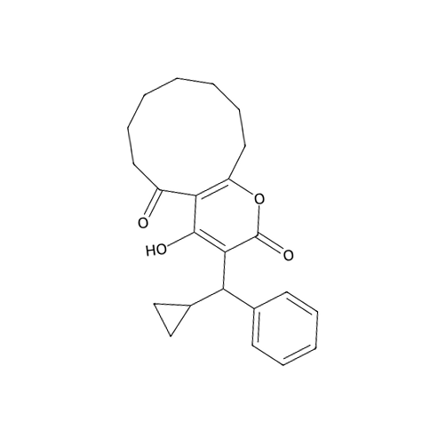 O=C1CCCCCCCc2oc(=O)c(C(c3ccccc3)C3CC3)c(O)c21